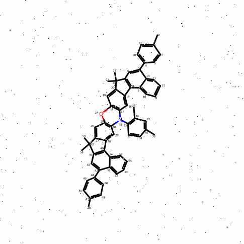 Cc1ccc(-c2cc3c(c4ccccc24)-c2cc4c(cc2C3(C)C)Oc2cc3c(cc2N4c2ccc(C)cc2C)-c2c(cc(-c4ccc(C)cc4)c4ccccc24)C3(C)C)cc1